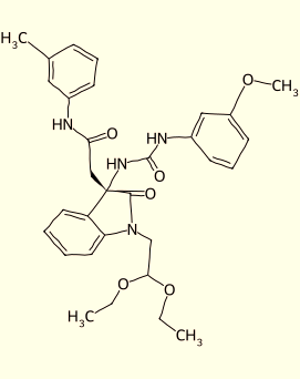 CCOC(CN1C(=O)[C@@](CC(=O)Nc2cccc(C)c2)(NC(=O)Nc2cccc(OC)c2)c2ccccc21)OCC